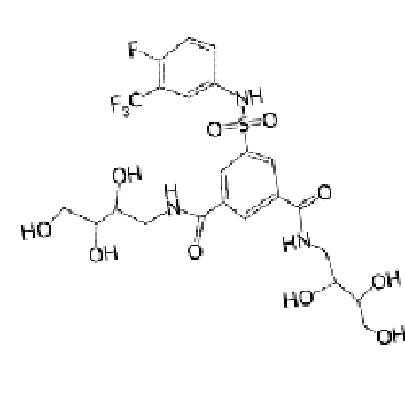 O=C(NCC(O)C(O)CO)c1cc(C(=O)NCC(O)C(O)CO)cc(S(=O)(=O)Nc2ccc(F)c(C(F)(F)F)c2)c1